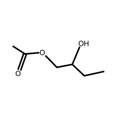 CCC(O)COC(C)=O